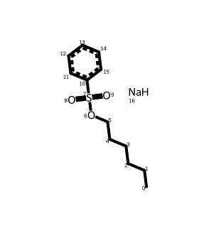 CCCCCCOS(=O)(=O)c1ccccc1.[NaH]